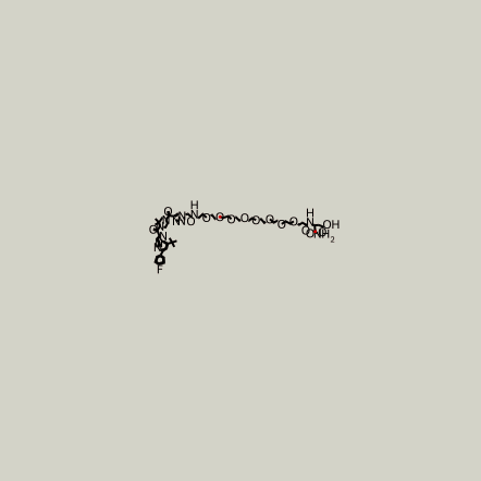 CC(C)(C)c1cc(-c2ccc(F)cc2)nn2cc(C(=O)N3CCN(C(=O)c4cn(CC(=O)NCCOCCOCCOCCOCCOCCOCCOCCOCCC(=O)NC(CC(=O)O)C(N)=O)nn4)CC3(C)C)nc12